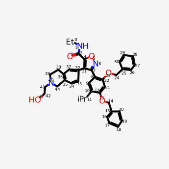 CCNC(=O)c1onc(-c2cc(C(C)C)c(OCc3ccccc3)cc2OCc2ccccc2)c1-c1ccc2c(c1)CCN(CCO)C2